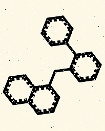 [CH](c1ccccc1-c1ccccc1)c1cccc2ccccc12